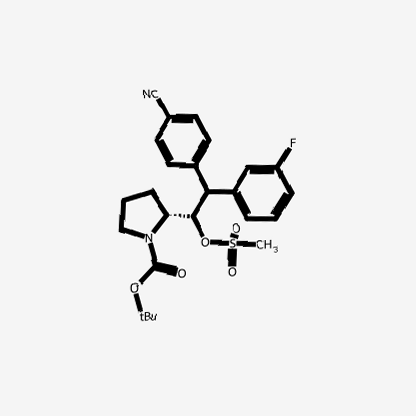 CC(C)(C)OC(=O)N1CCC[C@@H]1C(OS(C)(=O)=O)C(c1ccc(C#N)cc1)c1cccc(F)c1